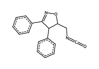 O=C=NCC1ON=C(c2ccccc2)C1c1ccccc1